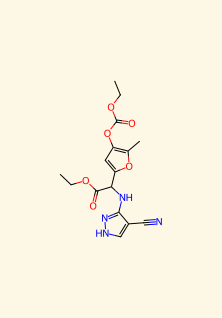 CCOC(=O)Oc1cc(C(Nc2n[nH]cc2C#N)C(=O)OCC)oc1C